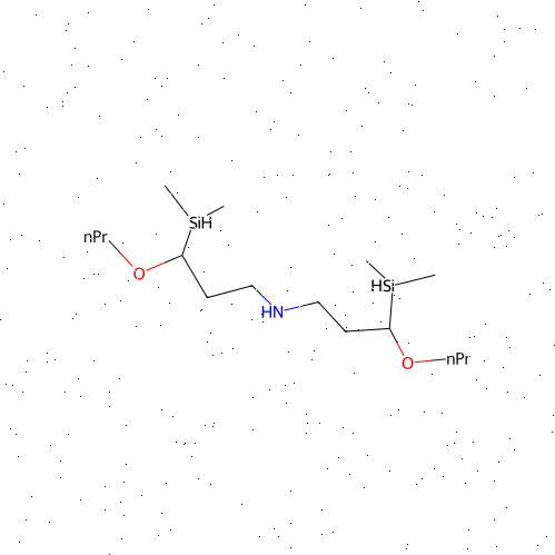 CCCOC(CCNCCC(OCCC)[SiH](C)C)[SiH](C)C